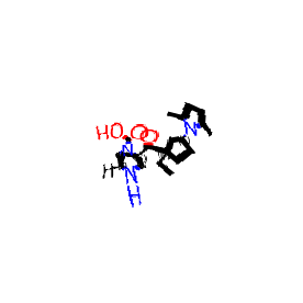 CC[C@]1(C(=O)[C@]23CN[C@H](CN2C(=O)O)C3)C=C[C@@H](n2c(C)ccc2C)C1